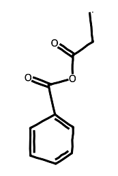 [CH2]CC(=O)OC(=O)c1ccccc1